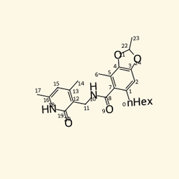 CCCCCCc1cc2c(c(C)c1C(=O)NCc1c(C)cc(C)[nH]c1=O)OC(C)O2